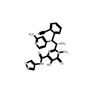 Cc1cc([C@@H](c2ccccc2C#N)[C@H](C)c2nc(C(=O)Nc3cnoc3)c(O)c(=O)n2C)ccn1